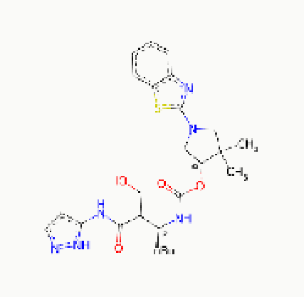 CCCC[C@H](NC(=O)O[C@@H]1CN(c2nc3ccccc3s2)CC1(C)C)C(CO)C(=O)Nc1ccn[nH]1